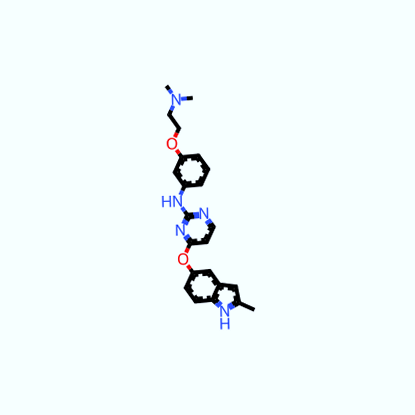 Cc1cc2cc(Oc3ccnc(Nc4cccc(OCCN(C)C)c4)n3)ccc2[nH]1